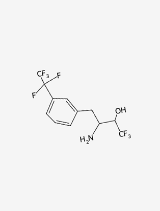 NC(Cc1cccc(C(F)(F)C(F)(F)F)c1)C(O)C(F)(F)F